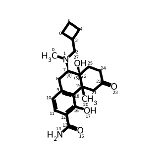 CN(CC1CCC1)[C@@H]1Cc2ccc(C(N)=O)c(O)c2C2(C)CC(=O)CC[C@@]12O